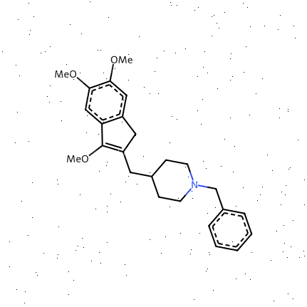 COC1=C(CC2CCN(Cc3ccccc3)CC2)Cc2cc(OC)c(OC)cc21